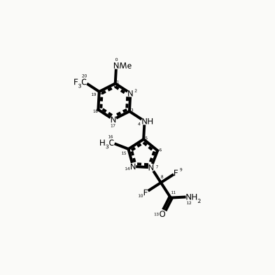 CNc1nc(Nc2cn(C(F)(F)C(N)=O)nc2C)ncc1C(F)(F)F